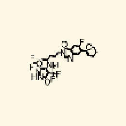 O=c1[nH]ncc(NC(CCCn2cnc3cc(C4=CCCCO4)c(F)cc3c2=O)COC(F)F)c1C(F)(F)F